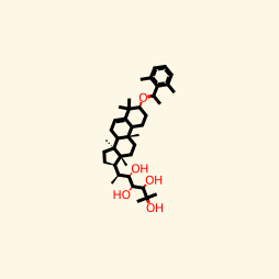 Cc1cccc(C)c1C(C)O[C@H]1CCC2C(=CCC3[C@@]2(C)CC[C@]2(C)[C@@H]([C@H](C)[C@H](O)[C@@H](O)[C@@H](O)C(C)(C)O)CC[C@@]32C)C1(C)C